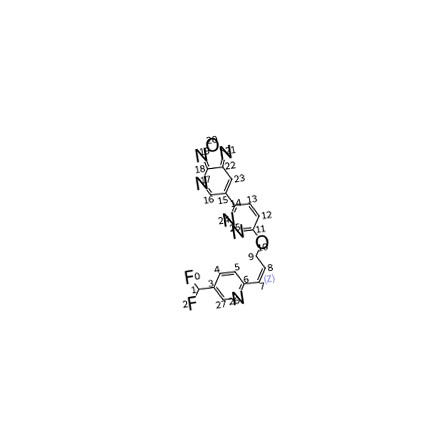 FC(F)c1ccc(/C=C\COc2ccc(-c3cnc4nonc4c3)nn2)nc1